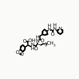 CSCC[C@H](NC(=O)Cc1ccc(NC(=O)Nc2ccccn2)cc1)C(=O)NCC(C(=O)O)c1ccc2c(c1)OCO2